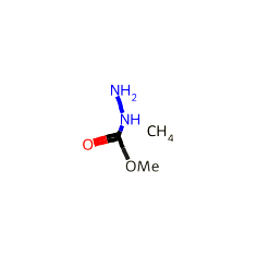 C.COC(=O)NN